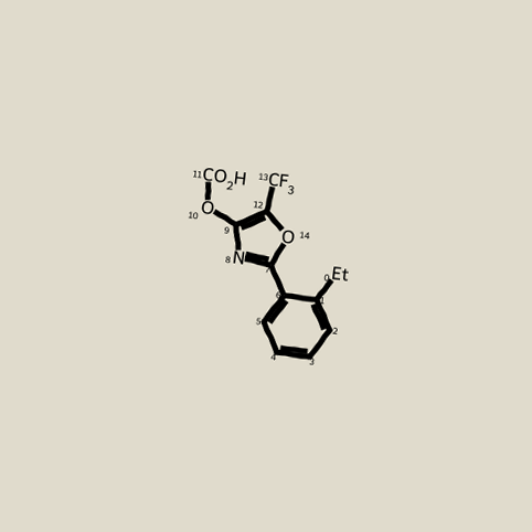 CCc1ccccc1-c1nc(OC(=O)O)c(C(F)(F)F)o1